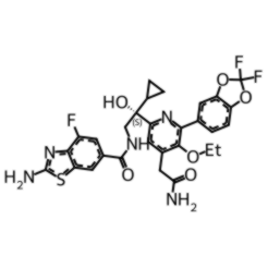 CCOc1c(CC(N)=O)cc([C@@](O)(CNC(=O)c2cc(F)c3nc(N)sc3c2)C2CC2)nc1-c1ccc2c(c1)OC(F)(F)O2